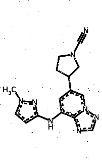 Cn1ccc(Nc2cc(C3CCN(C#N)C3)cn3ncnc23)n1